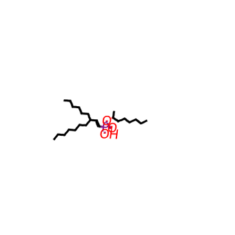 CCCCCCCC(/C=C/P(=O)(O)OC(C)CCCCCC)CCCCCC